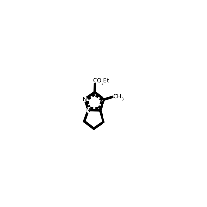 CCOC(=O)c1nn2c(c1C)CCC2